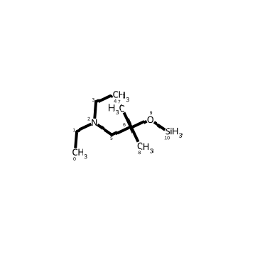 CCN(CC)CC(C)(C)O[SiH3]